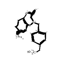 Cc1ccc2[nH]c(=O)n(Cc3ccc(CC(=O)O)cc3)c2c1